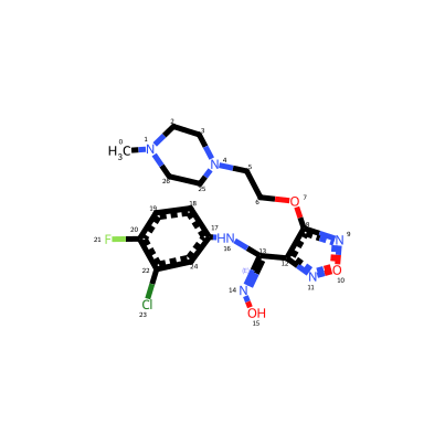 CN1CCN(CCOc2nonc2/C(=N\O)Nc2ccc(F)c(Cl)c2)CC1